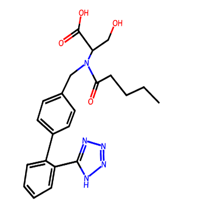 CCCCC(=O)N(Cc1ccc(-c2ccccc2-c2nnn[nH]2)cc1)C(CO)C(=O)O